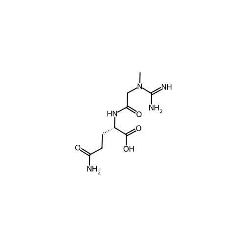 CN(CC(=O)N[C@@H](CCC(N)=O)C(=O)O)C(=N)N